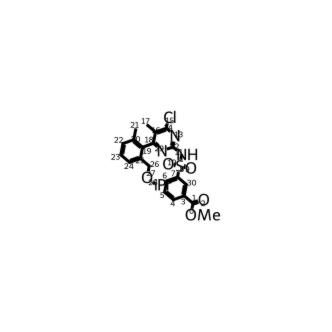 COC(=O)c1cccc(S(=O)(=O)Nc2nc(Cl)c(C)c(-c3c(C)cccc3COC(C)C)n2)c1